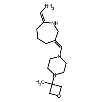 CC1(N2CCN(/C=C3\CCC/C(=C/N)NC3)CC2)COC1